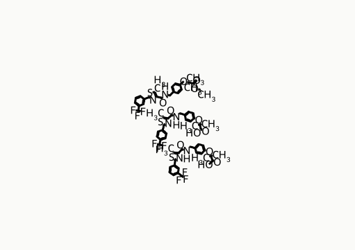 CCOC(=O)C(C)(C)Oc1ccc(CNC(=O)c2nc(-c3cccc(C(F)(F)F)c3)sc2C)cc1.Cc1sc(-c2ccc(C(F)(F)F)cc2)nc1C(=O)NCc1ccc(OC(C)(C)C(=O)O)cc1.Cc1sc(-c2cccc(C(F)(F)F)c2)nc1C(=O)NCc1ccc(OC(C)(C)C(=O)O)cc1